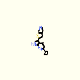 c1cc2cc(-c3c[nH]c4nc(C5CCC5)ccc34)sc2cn1